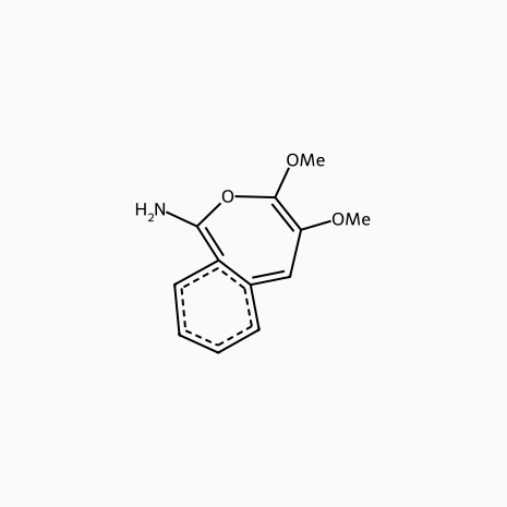 COC1=C(OC)OC(N)=c2ccccc2=C1